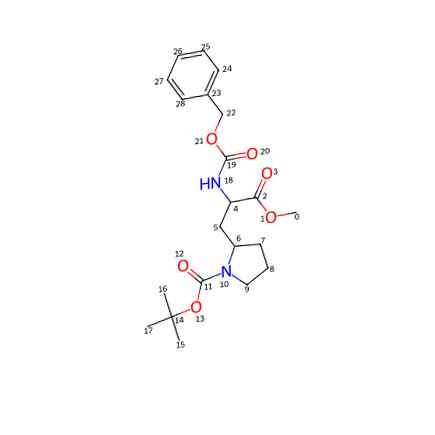 COC(=O)C(CC1CCCN1C(=O)OC(C)(C)C)NC(=O)OCc1ccccc1